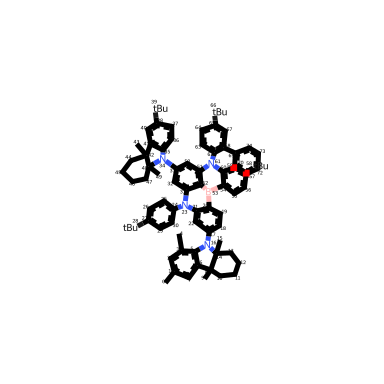 Cc1cc(C)c2c(c1)C1(C)CCCCC1(C)N2c1ccc2c(c1)N(c1ccc(C(C)(C)C)cc1)c1cc(N3c4ccc(C(C)(C)C)cc4C4(C)CCCCC34C)cc3c1B2c1ccc(C(C)(C)C)cc1N3c1ccc(C(C)(C)C)cc1-c1ccccc1